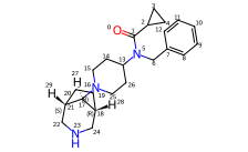 O=C(C1CC1)N(Cc1ccccc1)C1CCN([C@H]2[C@@H]3CC[C@H]2CNC3)CC1